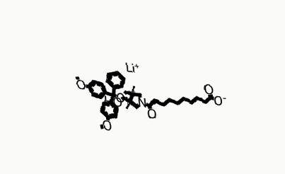 COc1ccc(C(OC[C@]2(C)CN(C(=O)CCCCCCCCC(=O)[O-])C[C@]2(C)CO)(c2ccccc2)c2ccc(OC)cc2)cc1.[Li+]